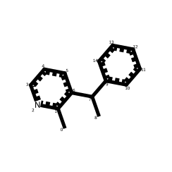 Cc1ncccc1C(C)c1ccccc1